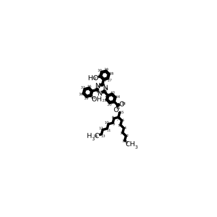 CCCCCCCC(CCCCCCC)COC(=O)c1ccc(-c2nc(-c3ccccc3O)nc(-c3ccccc3O)n2)cc1